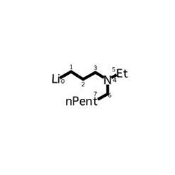 [Li][CH2]CCN(CC)CCCCCC